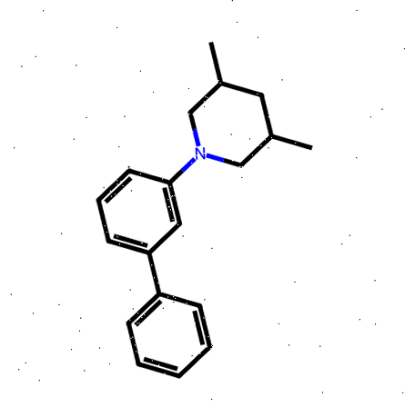 CC1CC(C)CN(c2[c]ccc(-c3ccccc3)c2)C1